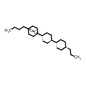 CCCCC12CCC([C@H]3CC[C@H]([C@H]4CC[C@H](CCC)CC4)CC3)(CC1)CC2